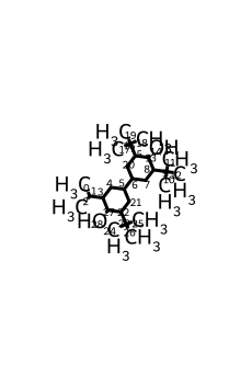 CC(C)C1CC(C2CC(C(C)(C)C)C(O)C(C(C)(C)C)C2)CC(C(C)(C)C)C1O